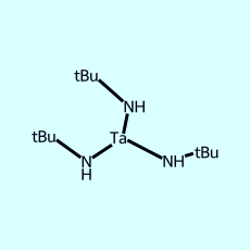 CC(C)(C)[NH][Ta]([NH]C(C)(C)C)[NH]C(C)(C)C